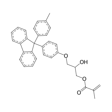 C=C(C)C(=O)OCC(O)COc1ccc(C2(c3ccc(C)cc3)c3ccccc3-c3ccccc32)cc1